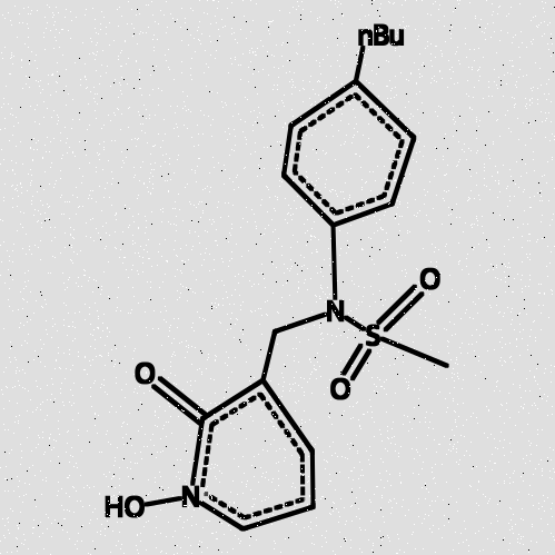 CCCCc1ccc(N(Cc2cccn(O)c2=O)S(C)(=O)=O)cc1